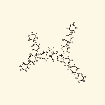 CC1(C)c2cc(N(c3ccc(-c4ccccc4)cc3)c3ccc(-c4ccccc4)cc3)ccc2-c2ccc(N(c3ccc(-c4ccc(-c5ccccc5)cc4)cc3)c3ccc(-c4ccc(-c5ccccc5)cc4)cc3)cc21